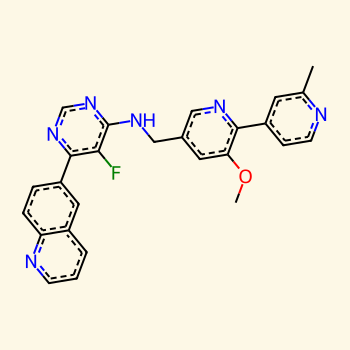 COc1cc(CNc2ncnc(-c3ccc4ncccc4c3)c2F)cnc1-c1ccnc(C)c1